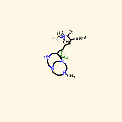 CCCCCCCC(CCCCC1CNCCN2CCCN(C)CCN(CC2)C1(Cl)Cl)C(CC)[N+](C)(C)C